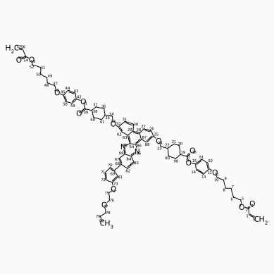 C=CC(=O)OCCCCCCOc1ccc(OC(=O)C2CCC(COc3ccc4c5ccc(OCC6CCC(C(=O)Oc7ccc(OCCCCCCOC(=O)C=C)cc7)CC6)cc5c5nc6cc(-c7cccc(OCCOCCC)c7)ccc6nc5c4c3)CC2)cc1